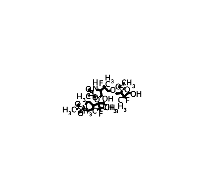 CC(O)C(OCC(NS(C)(=O)=O)C(C)(F)COCC(C(C)(F)CO)S(C)(=O)=O)(C1CCN(S(C)(=O)=O)CC1)C(C)(C)F